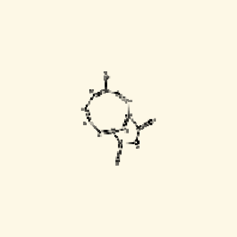 O=C1OC(=O)c2ccc(Br)ccccc1c2